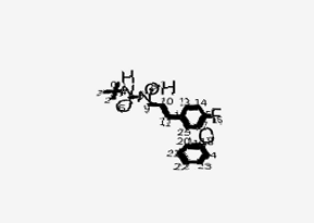 CC(C)(C)NC(=O)N(O)CC=Cc1ccc(F)c(Oc2ccccc2)c1